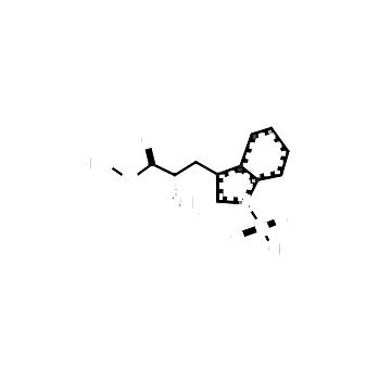 COC(=O)[C@@H](N)Cc1cn(S(C)(=O)=O)c2ccccc12